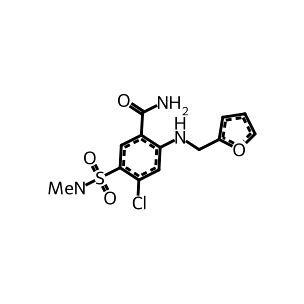 CNS(=O)(=O)c1cc(C(N)=O)c(NCc2ccco2)cc1Cl